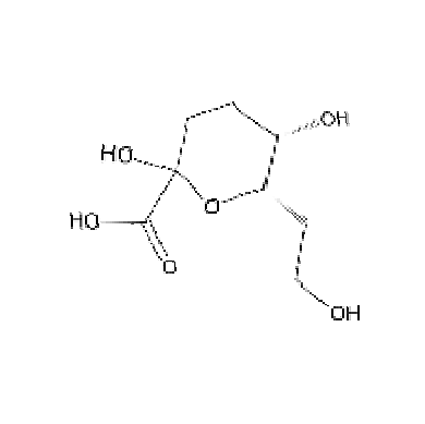 O=C(O)C1(O)CC[C@H](O)[C@H](CCO)O1